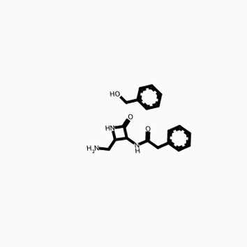 NCC1NC(=O)C1NC(=O)Cc1ccccc1.OCc1ccccc1